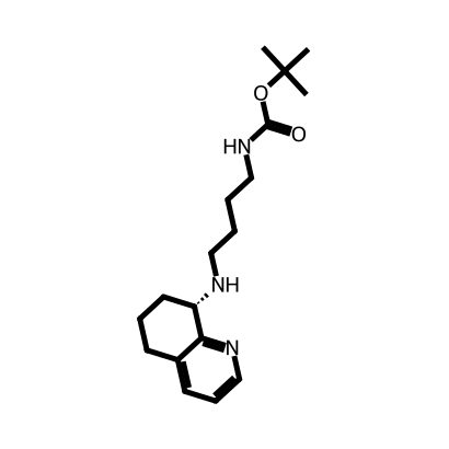 CC(C)(C)OC(=O)NCCCCN[C@H]1CCCc2cccnc21